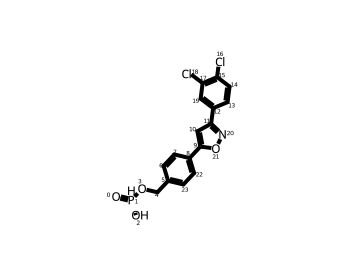 O=[PH](O)OCc1ccc(-c2cc(-c3ccc(Cl)c(Cl)c3)no2)cc1